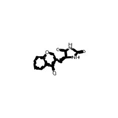 O=C1NC(=S)N/C1=C/c1coc2ccccc2c1=O